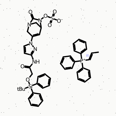 C/C=C/[P+](c1ccccc1)(c1ccccc1)c1ccccc1.CC(C)(C)[Si](OCC(=O)Nc1ccn(C2=CC3CN(C2)C(=O)N3OS(=O)(=O)[O-])n1)(c1ccccc1)c1ccccc1